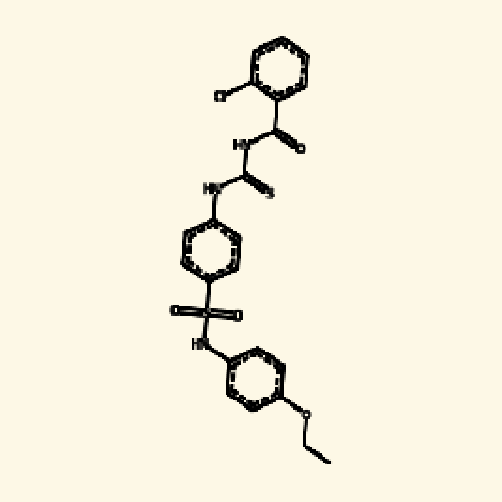 CCOc1ccc(NS(=O)(=O)c2ccc(NC(=S)NC(=O)c3ccccc3Cl)cc2)cc1